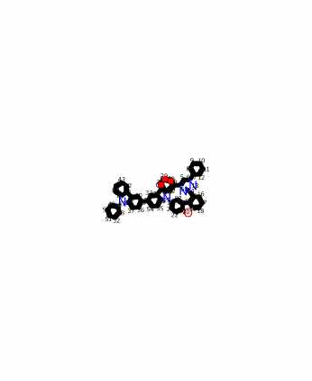 c1ccc(-c2cc(-c3ccccc3)nc(-c3cccc4oc5ccc(-n6c7ccccc7c7cc(-c8ccc9c(c8)c8ccccc8n9-c8ccccc8)ccc76)cc5c34)n2)cc1